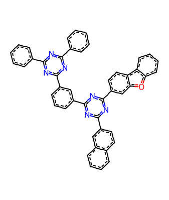 c1ccc(-c2nc(-c3ccccc3)nc(-c3cccc(-c4nc(-c5ccc6ccccc6c5)nc(-c5ccc6c(c5)oc5ccccc56)n4)c3)n2)cc1